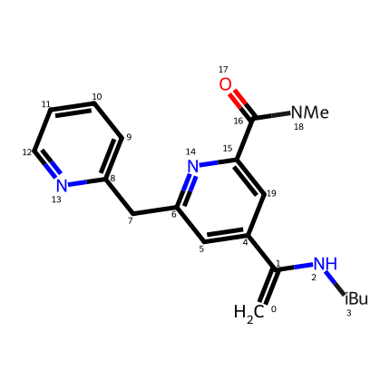 C=C(NC(C)CC)c1cc(Cc2ccccn2)nc(C(=O)NC)c1